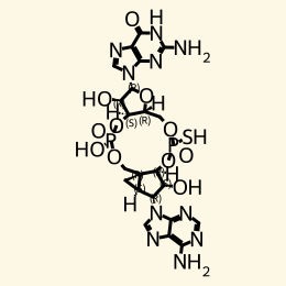 Nc1nc2c(ncn2[C@@H]2O[C@@H]3COP(=O)(S)O[C@H]4[C@@H](O)[C@H](n5cnc6c(N)ncnc65)[C@H]5C[C@]54COP(=O)(O)O[C@H]3[C@H]2O)c(=O)[nH]1